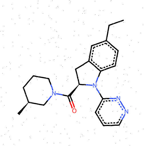 CCc1ccc2c(c1)C[C@H](C(=O)N1CCC[C@H](C)C1)N2c1cccnn1